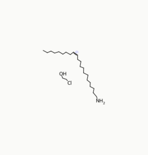 CCCCCCCC/C=C\CCCCCCCCCCCCN.OCCCl